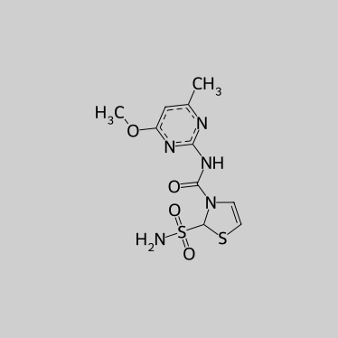 COc1cc(C)nc(NC(=O)N2C=CSC2S(N)(=O)=O)n1